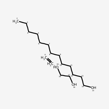 C=C.CCCCCCCCCCCCCO.OCCO